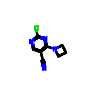 N#Cc1cnc(Cl)nc1N1CCC1